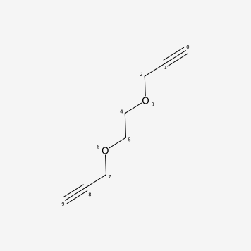 C#CCOCCOCC#C